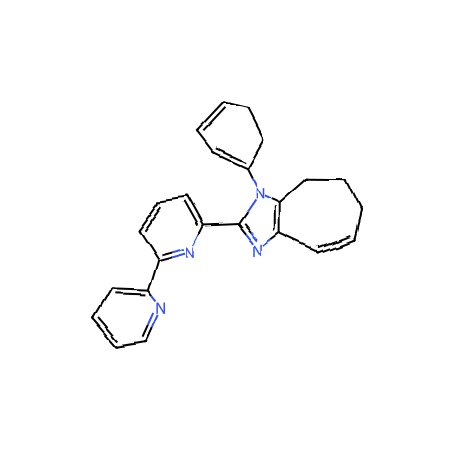 C1=CCCC(n2c(-c3cccc(-c4ccccn4)n3)nc3c2CCCC=C3)=C1